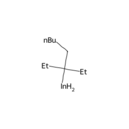 CCCCC[C]([InH2])(CC)CC